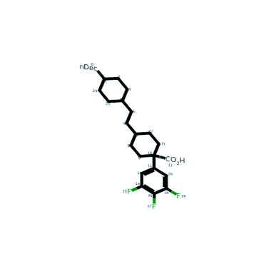 CCCCCCCCCCC1CCC(CCC2CCC(C(=O)O)(c3cc(F)c(F)c(F)c3)CC2)CC1